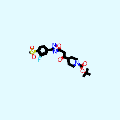 CC(C)(C)OC(=O)N1CCC(C(=O)Cc2nc(-c3ccc(S(C)(=O)=O)c(F)c3)no2)CC1